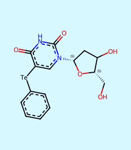 O=c1[nH]c(=O)n([C@@H]2CC(O)[C@H](CO)O2)cc1[Te]c1ccccc1